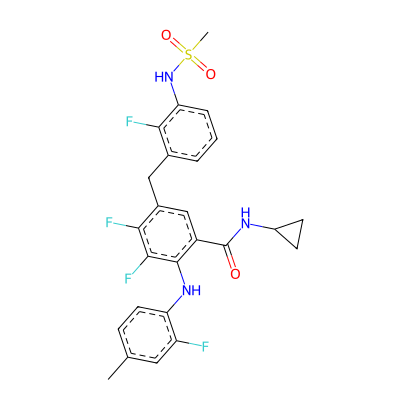 Cc1ccc(Nc2c(C(=O)NC3CC3)cc(Cc3cccc(NS(C)(=O)=O)c3F)c(F)c2F)c(F)c1